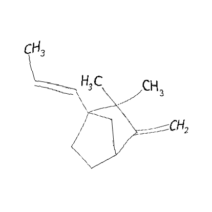 C=C1C2CCC(C=CC)(C2)C1(C)C